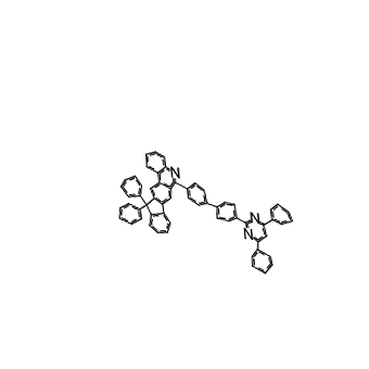 c1ccc(-c2cc(-c3ccccc3)nc(-c3ccc(-c4ccc(-c5nc6ccccc6c6cc7c(cc56)-c5ccccc5C7(c5ccccc5)c5ccccc5)cc4)cc3)n2)cc1